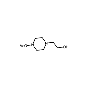 CC(=O)ON1CCN(CCO)CC1